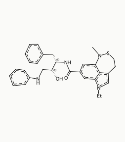 CCn1cc2c3c(cc(C(=O)N[C@@H](Cc4ccccc4)[C@H](O)CNc4ccccc4)cc31)N(C)SCC2